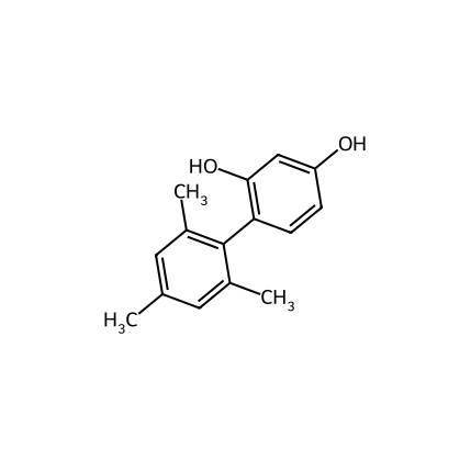 Cc1cc(C)c(-c2ccc(O)cc2O)c(C)c1